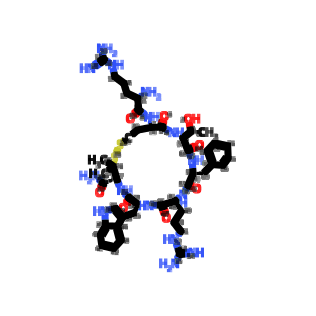 C[C@@H](O)[C@@H]1NC(=O)[C@@H](NC(=O)[C@H](N)CCCNC(=N)N)CCSSC(C)(C)[C@@H](C(N)=O)NC(=O)[C@H](Cc2c[nH]c3ccccc23)NC(=O)[C@H](CCCNC(=N)N)NC(=O)[C@@H](Cc2ccccc2)NC1=O